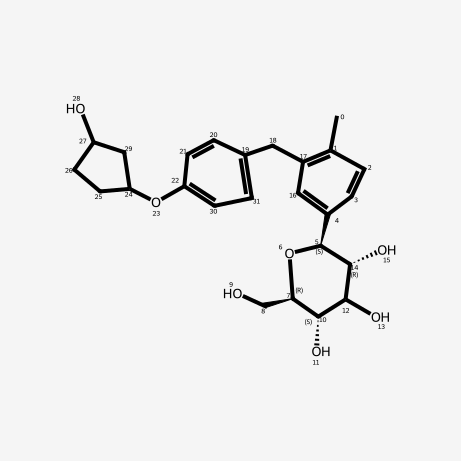 Cc1ccc([C@@H]2O[C@H](CO)[C@@H](O)C(O)[C@H]2O)cc1Cc1ccc(OC2CCC(O)C2)cc1